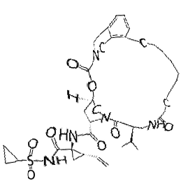 C=C[C@@H]1C[C@]1(NC(=O)[C@@H]1C[C@@H]2CN1C(=O)[C@H](C(C)C)NC(=O)CCCCCCCc1cccc3c1CN(C3)C(=O)O2)C(=O)NS(=O)(=O)C1CC1